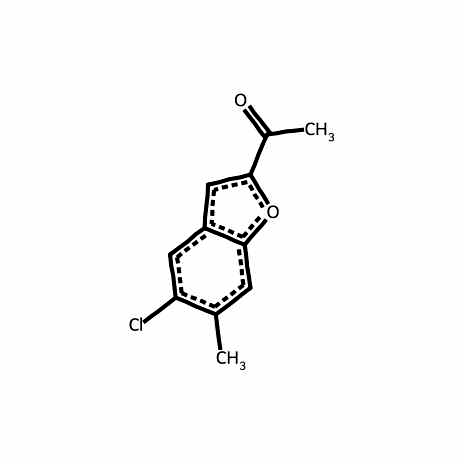 CC(=O)c1cc2cc(Cl)c(C)cc2o1